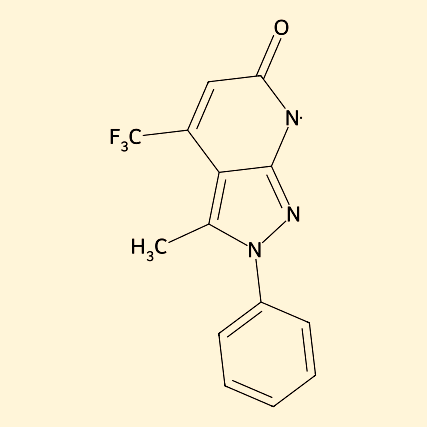 Cc1c2c(nn1-c1ccccc1)[N]C(=O)C=C2C(F)(F)F